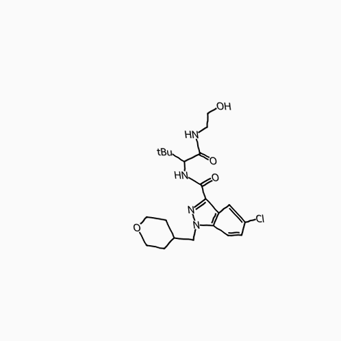 CC(C)(C)C(NC(=O)c1nn(CC2CCOCC2)c2ccc(Cl)cc12)C(=O)NCCO